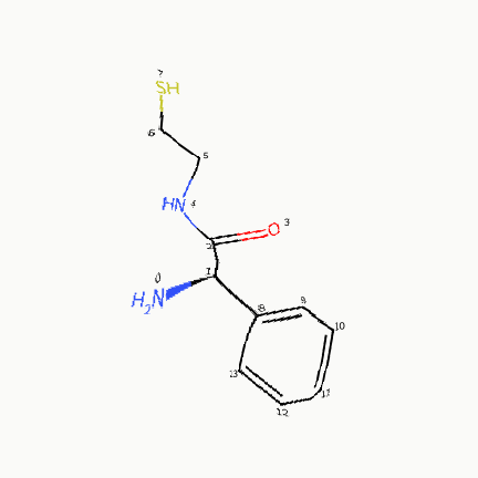 N[C@@H](C(=O)NCCS)c1ccccc1